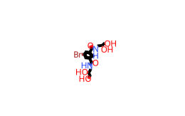 O=C(NCC(O)CO)c1cc(Br)cc(C(=O)NCC(O)CO)c1